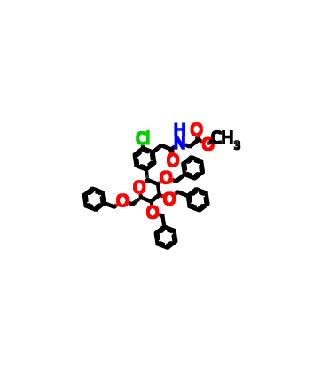 COC(=O)CNC(=O)Cc1cc([C@@H]2O[C@H](COCc3ccccc3)[C@@H](OCc3ccccc3)[C@H](OCc3ccccc3)[C@H]2OCc2ccccc2)ccc1Cl